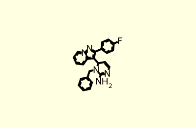 NC1=NC=CC(c2c(-c3ccc(F)cc3)nn3ccccc23)N1Cc1ccccc1